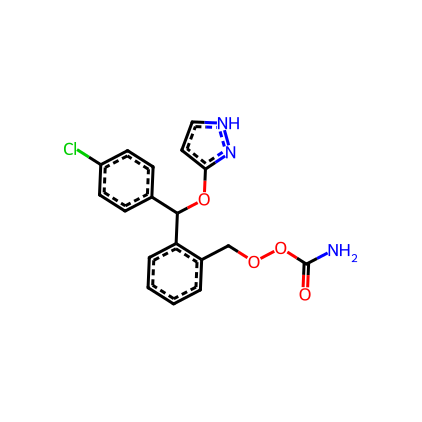 NC(=O)OOCc1ccccc1C(Oc1cc[nH]n1)c1ccc(Cl)cc1